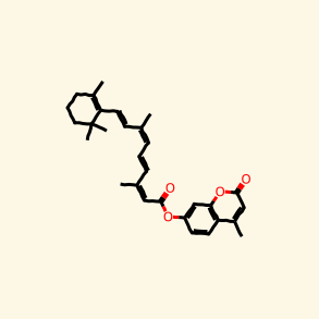 CC(C=CC1=C(C)CCCC1(C)C)=CC=CC(C)=CC(=O)Oc1ccc2c(C)cc(=O)oc2c1